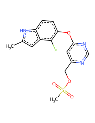 Cc1cc2c(F)c(Oc3cc(COS(C)(=O)=O)ncn3)ccc2[nH]1